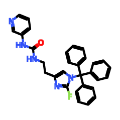 O=C(NCCc1cn(C(c2ccccc2)(c2ccccc2)c2ccccc2)c(F)n1)Nc1cccnc1